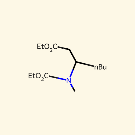 CCCCC(CC(=O)OCC)N(C)C(=O)OCC